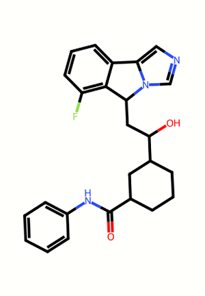 O=C(Nc1ccccc1)C1CCCC(C(O)CC2c3c(F)cccc3-c3cncn32)C1